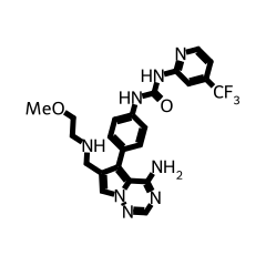 COCCNCc1cn2ncnc(N)c2c1-c1ccc(NC(=O)Nc2cc(C(F)(F)F)ccn2)cc1